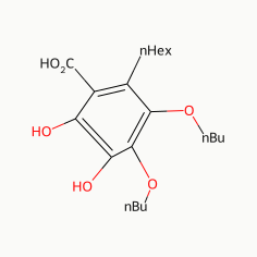 CCCCCCc1c(OCCCC)c(OCCCC)c(O)c(O)c1C(=O)O